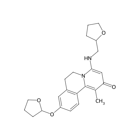 Cc1c2n(c(NCC3CCCO3)cc1=O)CCc1cc(OC3CCCO3)ccc1-2